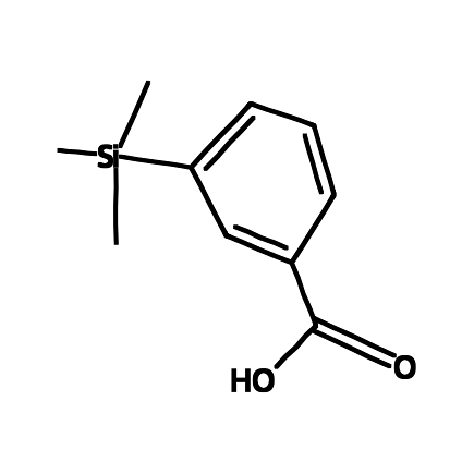 C[Si](C)(C)c1cccc(C(=O)O)c1